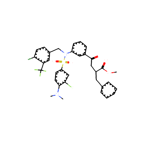 COC(=O)C(CC(=O)c1cccc(N(Cc2ccc(Cl)c(C(F)(F)F)c2)S(=O)(=O)c2ccc(N(C)C)c(F)c2)c1)Cc1ccccc1